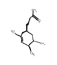 CC(=O)CC1CC(C)C(C)C=C1C